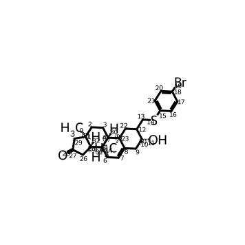 C[C@]12CC[C@H]3[C@@H](CC=C4C[C@@H](O)C(CSc5ccc(Br)cc5)C[C@@]43C)[C@@H]1CC(=O)C2